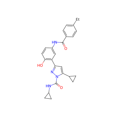 CCc1ccc(C(=O)Nc2ccc(O)c(-c3cc(C4CC4)n(C(=O)NC4CC4)n3)c2)cc1